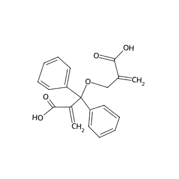 C=C(COC(C(=C)C(=O)O)(c1ccccc1)c1ccccc1)C(=O)O